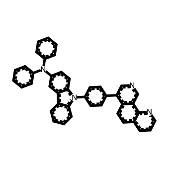 c1ccc(N(c2ccccc2)c2ccc3c(c2)c2ccccc2n3-c2ccc(-c3cncc4c3ccc3cccnc34)cc2)cc1